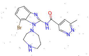 Cc1cc(C(=O)Nc2nc3cccc(Br)c3n2N2CCCNCC2)cnn1